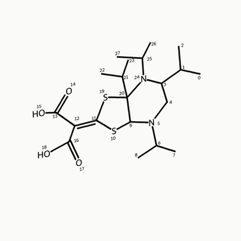 CC(C)C1CN(C(C)C)C2SC(=C(C(=O)O)C(=O)O)SC2(C(C)C)N1C(C)C